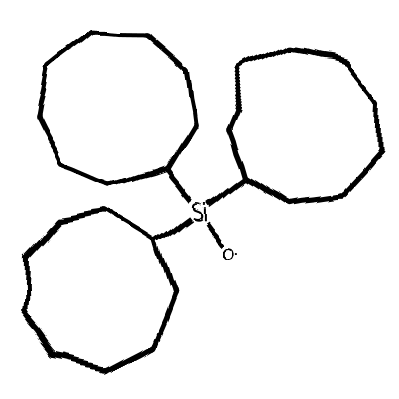 [O][Si](C1CCCCCCCC1)(C1CCCCCCCC1)C1CCCCCCCC1